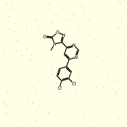 Cn1c(-c2cc(-c3ccc(Cl)c(Cl)c3)ncn2)noc1=O